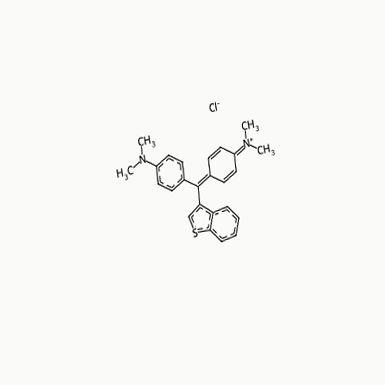 CN(C)c1ccc(C(=C2C=CC(=[N+](C)C)C=C2)c2csc3ccccc23)cc1.[Cl-]